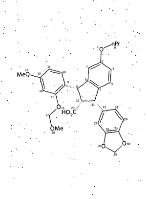 CCCOc1ccc2c(c1)[C@@H](c1ccc(OC)cc1OCOC)[C@@H](C(=O)O)[C@H]2c1ccc2c(c1)OCO2